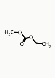 [CH2]OC(=O)OCC